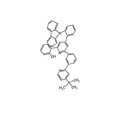 CC(C)(C)c1ccnc(-c2cccc(-c3cc(-c4ccccc4-n4c5ccccc5c5ccccc54)cc(-c4ccccc4O)n3)c2)c1